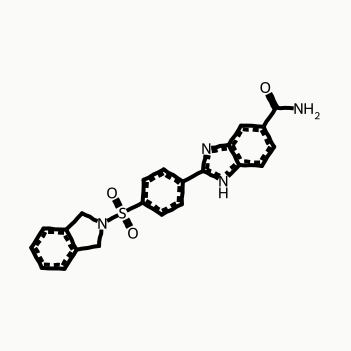 NC(=O)c1ccc2[nH]c(-c3ccc(S(=O)(=O)N4Cc5ccccc5C4)cc3)nc2c1